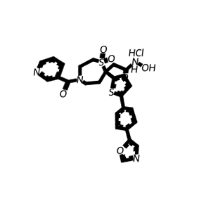 Cl.O=C(CC1(c2ccc(-c3ccc(-c4cnco4)cc3)s2)CCN(C(=O)c2cccnc2)CCS1(=O)=O)NO